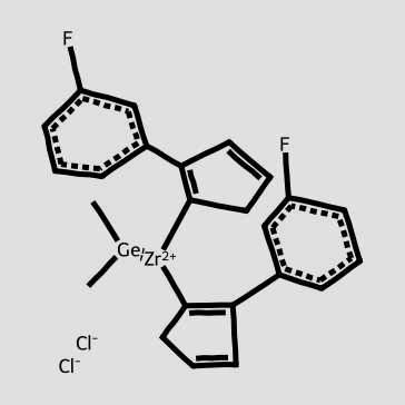 [CH3][Ge]([CH3])=[Zr+2]([C]1=C(c2cccc(F)c2)C=CC1)[C]1=C(c2cccc(F)c2)C=CC1.[Cl-].[Cl-]